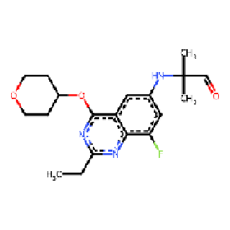 CCc1nc(OC2CCOCC2)c2cc(NC(C)(C)C=O)cc(F)c2n1